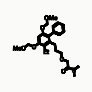 CCc1c(OCOC)cc(OCOC)c(-c2ccccc2)c1CCCOCC(=O)N(C)C